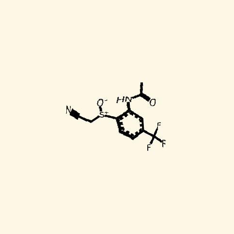 CC(=O)Nc1cc(C(F)(F)F)ccc1[S+]([O-])CC#N